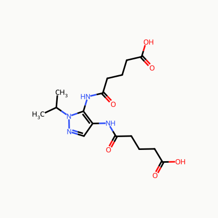 CC(C)n1ncc(NC(=O)CCCC(=O)O)c1NC(=O)CCCC(=O)O